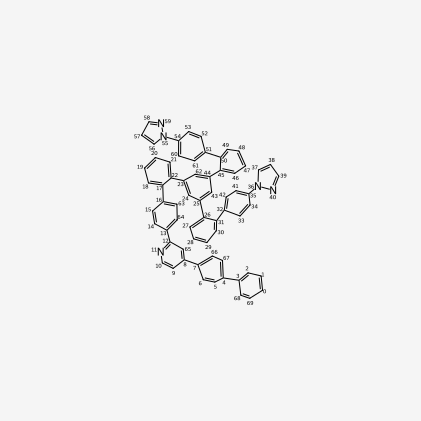 c1ccc(-c2ccc(-c3ccnc(-c4ccc(-c5ccccc5-c5cc(-c6ccccc6-c6ccc(-n7cccn7)cc6)cc(-c6ccccc6-c6ccc(-n7cccn7)cc6)c5)cc4)c3)cc2)cc1